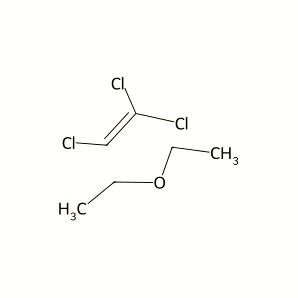 CCOCC.ClC=C(Cl)Cl